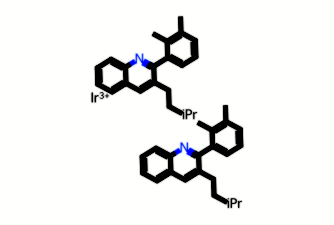 Cc1cccc(-c2nc3ccccc3cc2CCC(C)C)c1C.Cc1cccc(-c2nc3ccccc3cc2CCC(C)C)c1C.[Ir+3]